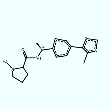 Cc1ncsc1-c1ccc([C@H](C)NC(=O)C2CCCN2O)cc1